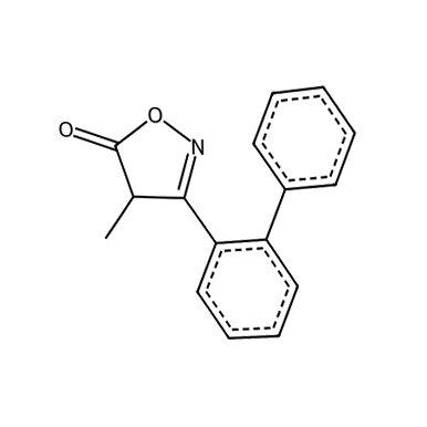 CC1C(=O)ON=C1c1ccccc1-c1ccccc1